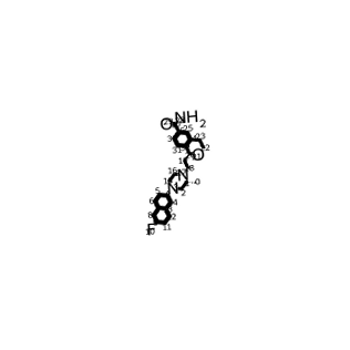 C[C@@H]1CN(c2ccc3cc(F)ccc3c2)CCN1CC[C@@H]1OCCc2cc(C(N)=O)ccc21